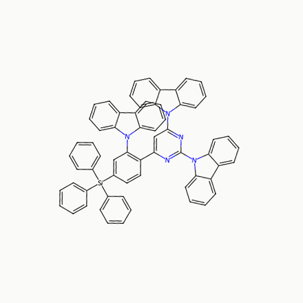 c1ccc([Si](c2ccccc2)(c2ccccc2)c2ccc(-c3cc(-n4c5ccccc5c5ccccc54)nc(-n4c5ccccc5c5ccccc54)n3)c(-n3c4ccccc4c4ccccc43)c2)cc1